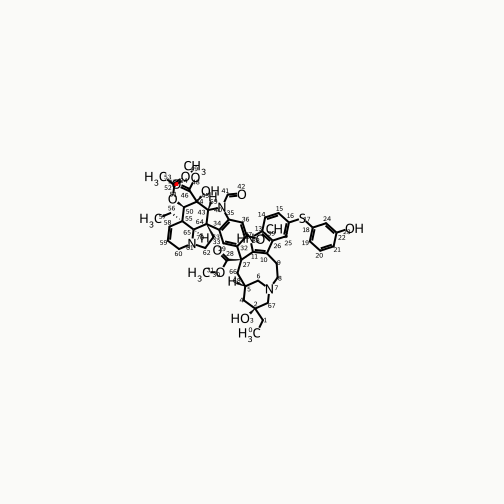 CC[C@]1(O)C[C@H]2CN(CCc3c([nH]c4ccc(Sc5cccc(O)c5)cc34)[C@@](C(=O)OC)(c3cc4c(cc3OC)N(C=O)[C@H]3[C@@](O)(C(=O)OC)[C@H](OC(C)=O)[C@]5(CC)C=CCN6CC[C@]43[C@@H]65)C2)C1